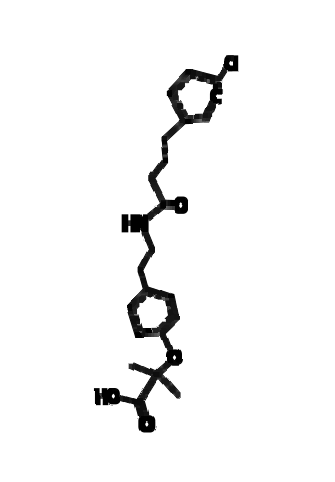 CC(C)(Oc1ccc(CCNC(=O)CCCc2ccc(Cl)cc2)cc1)C(=O)O